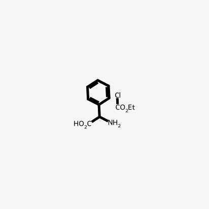 CCOC(=O)Cl.NC(C(=O)O)c1ccccc1